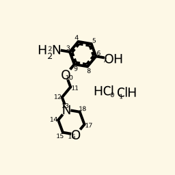 Cl.Cl.Nc1ccc(O)cc1OCCN1CCOCC1